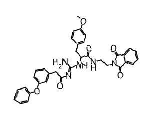 COc1ccc(CC(NC(N)=NC(=O)Cc2cccc(Oc3ccccc3)c2)C(=O)NCCN2C(=O)c3ccccc3C2=O)cc1